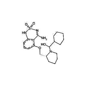 NC1=NS(=O)(=O)Nc2cccc(OC[C@H]3CCCCN3C(O)C3CCCCC3)c21